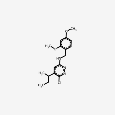 CCC(C)c1cc(NCc2ccc(OC)cc2OC)nnc1Cl